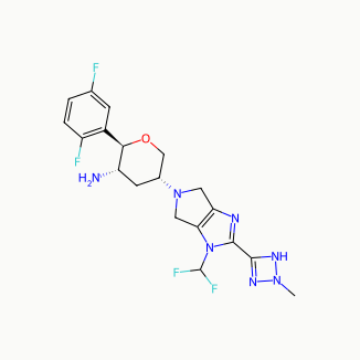 Cn1nc(-c2nc3c(n2C(F)F)CN([C@H]2CO[C@H](c4cc(F)ccc4F)[C@@H](N)C2)C3)[nH]1